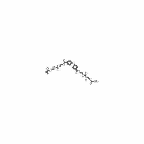 C=C(C)C(=O)OCCNC(=O)OCCOC(=O)c1ccc(Oc2ccc(C(=O)OCCOC(=O)NCCOC(=O)C(C)(C)C)cc2)cc1